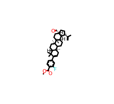 C=C(C)[C@@H]1CC[C@]2(C=O)CC[C@]3(C)[C@H](CCC4[C@@]5(C)CC=C(c6ccc(C(=O)OC)c(F)c6)C(C)(C)[C@@H]5CC[C@]43C)[C@@H]12